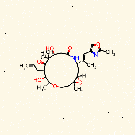 C=CC[C@H]1C(=O)C(C)(C)[C@@H](O)CC(=O)N[C@H](C(C)=Cc2coc(C)n2)C[C@@H]2O[C@]2(C)CCO[C@H](C)[C@H]1O